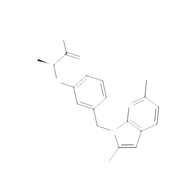 Cc1ccc2cc(C)n(Cc3cccc(O[C@@H](C)C(=O)OCC(C)C)c3)c2n1